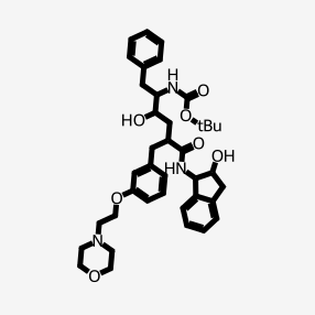 CC(C)(C)OC(=O)NC(Cc1ccccc1)C(O)CC(Cc1cccc(OCCN2CCOCC2)c1)C(=O)NC1c2ccccc2CC1O